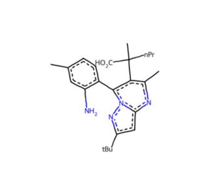 CCCC(C)(C(=O)O)c1c(C)nc2cc(C(C)(C)C)nn2c1-c1ccc(C)cc1N